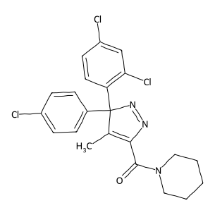 CC1=C(C(=O)N2CCCCC2)N=NC1(c1ccc(Cl)cc1)c1ccc(Cl)cc1Cl